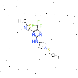 CCSN1CCC(Nc2ncc(C(F)(F)F)c(-c3cnc(C)s3)n2)CC1